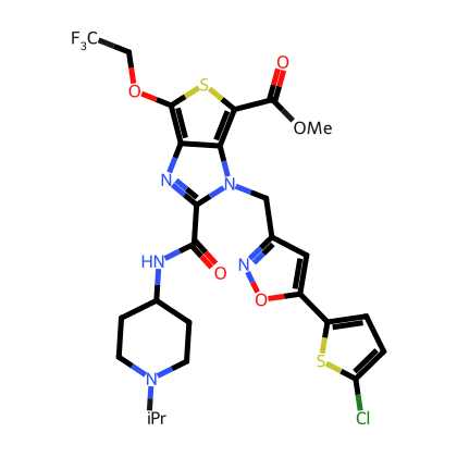 COC(=O)c1sc(OCC(F)(F)F)c2nc(C(=O)NC3CCN(C(C)C)CC3)n(Cc3cc(-c4ccc(Cl)s4)on3)c12